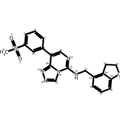 CS(=O)(=O)c1cccc(-c2cnc(NCc3cccc4c3CCO4)n3cnnc23)c1